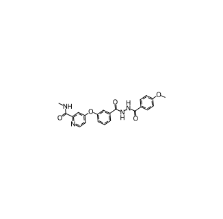 CNC(=O)c1cc(Oc2cccc(C(=O)NNC(=O)c3ccc(OC)cc3)c2)ccn1